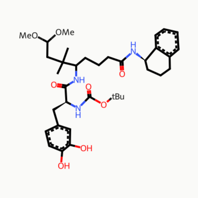 COC(CC(C)(C)C(CCCC(=O)N[C@@H]1CCCc2ccccc21)NC(=O)[C@H](Cc1ccc(O)c(O)c1)NC(=O)OC(C)(C)C)OC